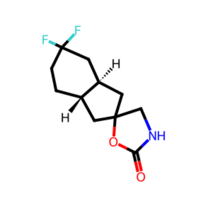 O=C1NCC2(C[C@@H]3CCC(F)(F)C[C@H]3C2)O1